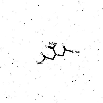 CNC(=O)CC(CC(=O)NC)C(=O)NC